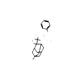 COC1(OP(=O)(O)Oc2ccccc2)OOC12C1CC3CC2CC(Cl)(C3)C1